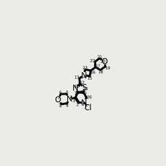 ClN1C=C(N2CCOCC2)c2nc(CN3CC(C4CCOCC4)C3)sc2C1